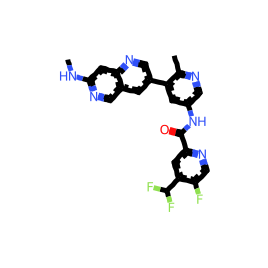 CNc1cc2ncc(-c3cc(NC(=O)c4cc(C(F)F)c(F)cn4)cnc3C)cc2cn1